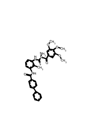 COc1cc(C(=O)N(N)C(=S)Nc2cccc(NC(=O)c3ccc(-c4ccccc4)cc3)c2C)cc(OC)c1OC